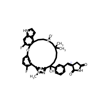 Cn1nc2nc1-c1cc(ccc1F)Oc1c(F)cc3[nH]ccc3c1CC[S+]([O-])CC(C)(C)CCCC2(C)c1cccc(/C=C2/CC(=O)NC2=O)c1